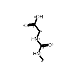 CNC(=O)NCC(=O)O